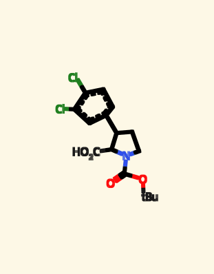 CC(C)(C)OC(=O)N1CCC(c2ccc(Cl)c(Cl)c2)C1C(=O)O